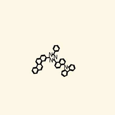 c1ccc(-c2nc(-c3ccc4ccc5c6ccccc6ccc5c4c3)nc(-c3cccc4c(-n5c6ccccc6c6ccccc65)cccc34)n2)cc1